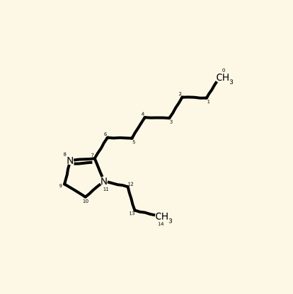 CCCCCCCC1=NCCN1CCC